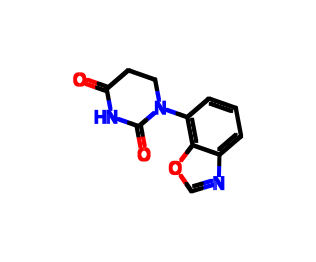 O=C1CCN(c2cccc3ncoc23)C(=O)N1